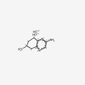 CN1CCc2nc(N)cnc2C1.Cl.Cl